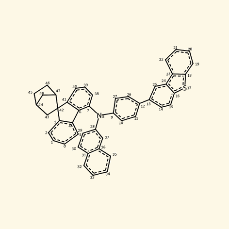 c1ccc2c(c1)-c1c(N(c3ccc(-c4ccc5sc6ccccc6c5c4)cc3)c3ccc4ccccc4c3)cccc1C21CC2CCC1C2